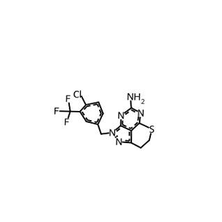 Nc1nc2c3c(nn(Cc4ccc(Cl)c(C(F)(F)F)c4)c3n1)CCS2